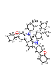 Cc1cc2c3c4c1c1cc5c(cc1n4-c1cc4c(cc1B3N(c1ccc(C(C)(C)C)cc1)c1cc3oc6ccccc6c3cc1-2)-c1ccccc1C4(C)C)oc1ccccc15